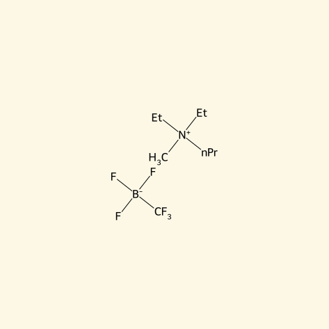 CCC[N+](C)(CC)CC.F[B-](F)(F)C(F)(F)F